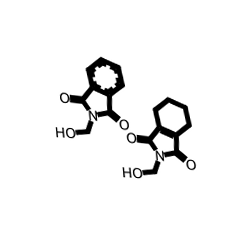 O=C1C2=C(CCCC2)C(=O)N1CO.O=C1c2ccccc2C(=O)N1CO